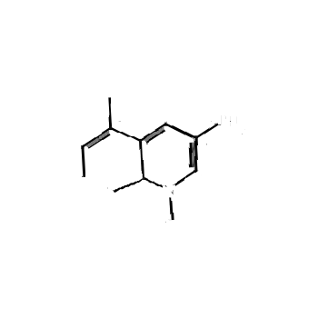 BC1=CN(C)C(C)C(/C(C)=C\C)=C1